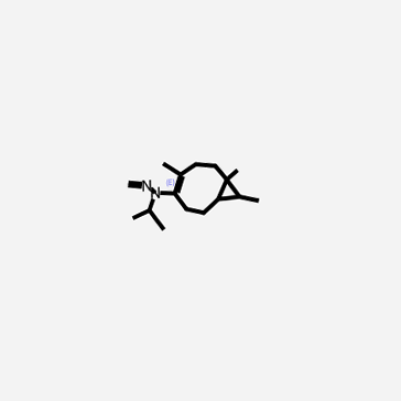 C=NN(/C1=C(\C)CCC2(C)C(C)C2CC1)C(C)C